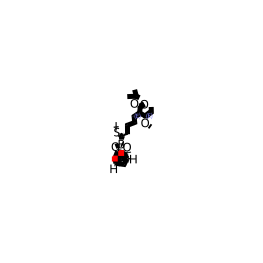 C/C=C(OC)\C(=C/CCC[C@H](SI)B1OC2C[C@@H]3C[C@@H](C3(C)C)[C@]2(C)O1)C(=O)OC(C)(C)C